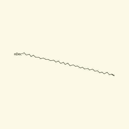 C=CCCCCCCCCCCCCCCCCCCCCCCCCCCCCCCCCCCCCCCCCCCCCCC